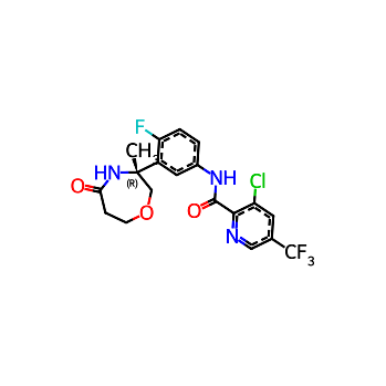 C[C@@]1(c2cc(NC(=O)c3ncc(C(F)(F)F)cc3Cl)ccc2F)COCCC(=O)N1